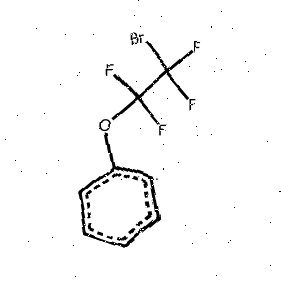 FC(F)(Br)C(F)(F)Oc1[c]cccc1